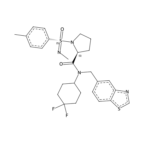 CN=[S@](=O)(c1ccc(C)cc1)N1CCC[C@H]1C(=O)N(Cc1ccc2scnc2c1)C1CCC(F)(F)CC1